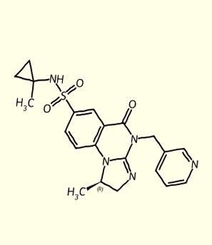 C[C@@H]1CN=C2N(Cc3cccnc3)C(=O)c3cc(S(=O)(=O)NC4(C)CC4)ccc3N21